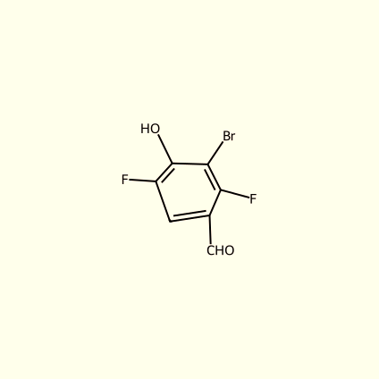 O=Cc1cc(F)c(O)c(Br)c1F